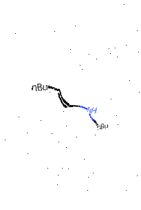 [CH2]CCCC=CNCCCC